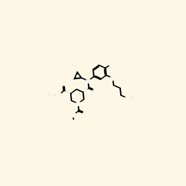 COCCCOc1cc(N(C(=O)[C@@H]2C[C@H](C(=O)OC)CN(C(=O)OC(C)(C)C)C2)C2CC2)ccc1C#N